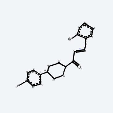 O=C(/C=C/c1ccccc1Br)C1CCC(c2ccc(F)cc2)CC1